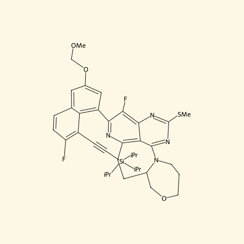 COCOc1cc(-c2nc3c4c(nc(SC)nc4c2F)N2CCCOCC2CC3)c2c(C#C[Si](C(C)C)(C(C)C)C(C)C)c(F)ccc2c1